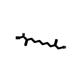 CC(C)CC(=O)CCCCCCC(=O)NO